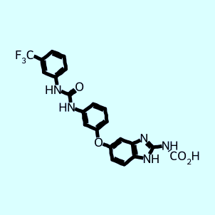 O=C(O)Nc1nc2cc(Oc3cccc(NC(=O)Nc4cccc(C(F)(F)F)c4)c3)ccc2[nH]1